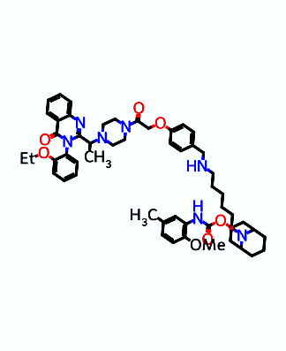 CCOc1ccccc1-n1c(C(C)N2CCN(C(=O)COc3ccc(CNCCCCCCN4C5CCCC4CC(OC(=O)Nc4cc(C)ccc4OC)C5)cc3)CC2)nc2ccccc2c1=O